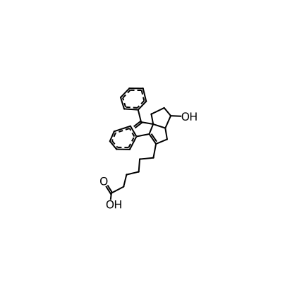 C=C(c1ccccc1)C12CCC(O)C1CC(CCCCCC(=O)O)=C2c1ccccc1